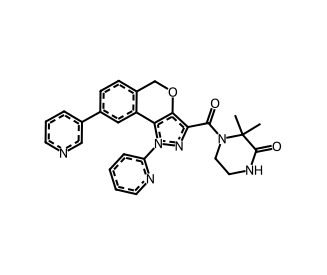 CC1(C)C(=O)NCCN1C(=O)c1nn(-c2ccccn2)c2c1OCc1ccc(-c3cccnc3)cc1-2